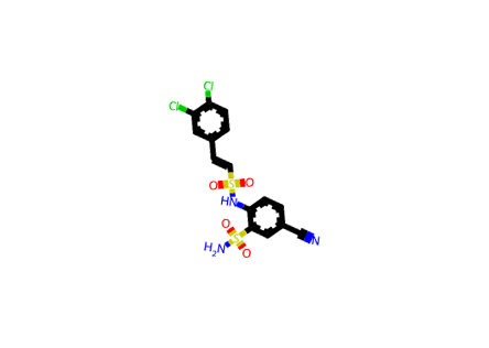 N#Cc1ccc(NS(=O)(=O)C=Cc2ccc(Cl)c(Cl)c2)c(S(N)(=O)=O)c1